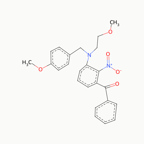 COCCN(Cc1ccc(OC)cc1)c1cccc(C(=O)c2ccccc2)c1[N+](=O)[O-]